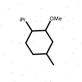 COC1CC(C)CCC1C(C)C